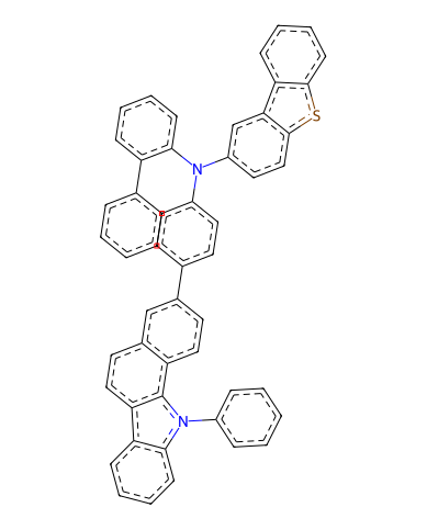 c1ccc(-c2ccccc2N(c2ccc(-c3ccc4c(ccc5c6ccccc6n(-c6ccccc6)c45)c3)cc2)c2ccc3sc4ccccc4c3c2)cc1